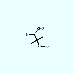 CCCCOC(C)(C)[C@H](Br)C=O